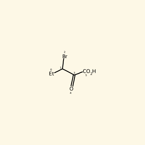 CCC(Br)C(=O)C(=O)O